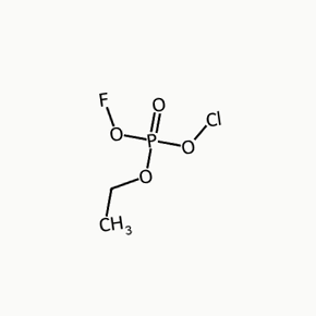 CCOP(=O)(OF)OCl